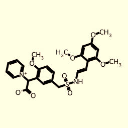 COc1cc(OC)c(/C=C/NS(=O)(=O)Cc2ccc(OC)c(C(C(=O)[O-])[n+]3ccccc3)c2)c(OC)c1